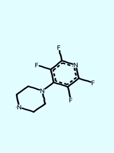 Fc1nc(F)c(F)c(N2CC[N]CC2)c1F